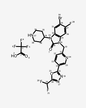 O=C(O)C(F)(F)F.O=c1n(Cc2ccc(-c3nnc(C(F)F)o3)cn2)c2cc(F)c(Br)cc2n1C1CCNCC1